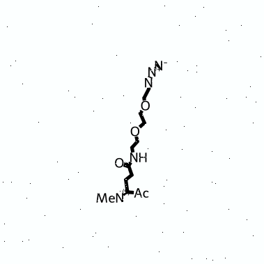 CN[C@@H](CCC(=O)NCCOCCOCCN=[N+]=[N-])C(C)=O